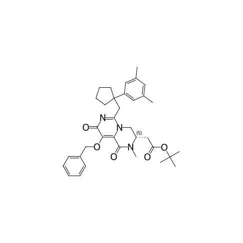 Cc1cc(C)cc(C2(Cc3nc(=O)c(OCc4ccccc4)c4n3C[C@H](CC(=O)OC(C)(C)C)N(C)C4=O)CCCC2)c1